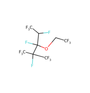 FC(C(F)(F)F)C(F)(OCC(F)(F)F)C(F)(C(F)(F)F)C(F)(F)F